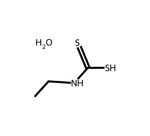 CCNC(=S)S.O